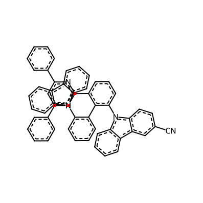 N#Cc1ccc2c(c1)c1ccccc1n2-c1cccc(-c2nc(-c3ccccc3)cc(-c3ccccc3)n2)c1-c1ccccc1-n1c2ccccc2c2ccccc21